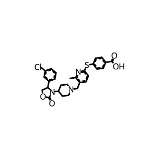 Cc1nc(Sc2ccc(C(=O)O)cc2)ccc1CN1CCC(N2C(=O)OCC2c2cccc(Cl)c2)CC1